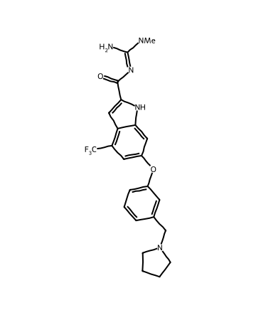 CNC(N)=NC(=O)c1cc2c(C(F)(F)F)cc(Oc3cccc(CN4CCCC4)c3)cc2[nH]1